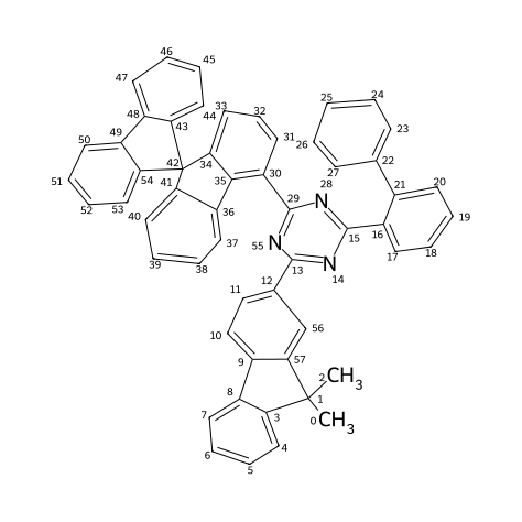 CC1(C)c2ccccc2-c2ccc(-c3nc(-c4ccccc4-c4ccccc4)nc(-c4cccc5c4-c4ccccc4C54c5ccccc5-c5ccccc54)n3)cc21